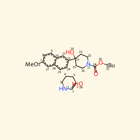 C1=CNCCC1.COc1ccc2cc(C3(O)CCN(C(=O)OC(C)(C)C)CC3)ccc2c1.O